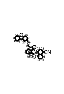 C[C@]12CC[C@](CCOc3ccc4oc5ccccc5c4c3)(O1)[C@@H]1C(=O)N(c3ccc(C#N)c4ccccc34)C(=O)[C@@H]12